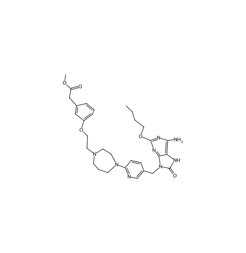 CCCCOc1nc(N)c2[nH]c(=O)n(Cc3ccc(N4CCCN(CCOc5cccc(CC(=O)OC)c5)CC4)nc3)c2n1